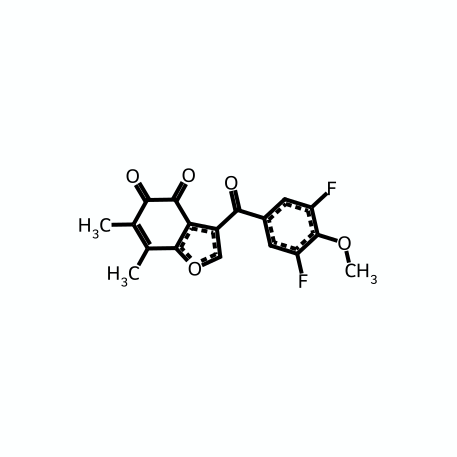 COc1c(F)cc(C(=O)c2coc3c2C(=O)C(=O)C(C)=C3C)cc1F